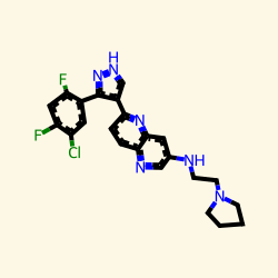 Fc1cc(F)c(-c2n[nH]cc2-c2ccc3ncc(NCCN4CCCC4)cc3n2)cc1Cl